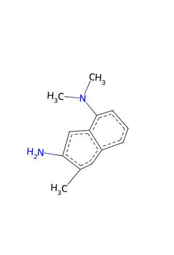 Cc1cc2cccc(N(C)C)c2cc1N